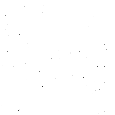 [CH]=CCCC(C)S(=O)(=O)O